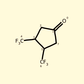 O=C1CC(C(F)(F)F)C(C(F)(F)F)C1